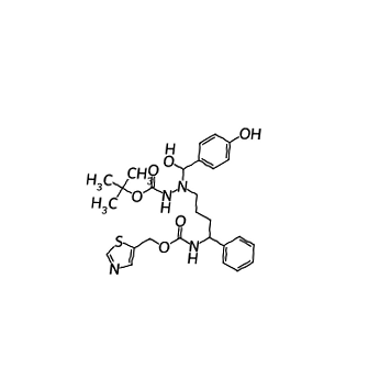 CC(C)(C)OC(=O)NN(CCCC(NC(=O)OCc1cncs1)c1ccccc1)C(O)c1ccc(O)cc1